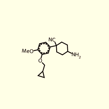 COc1ccc(C2(C#N)CCC(N)CC2)cc1OCC1CC1